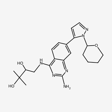 CC(C)(O)C(O)CNc1nc(N)nc2cc(-c3ccnn3C3CCCCO3)ccc12